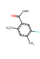 COC(=O)c1cc(F)c(C)cc1C